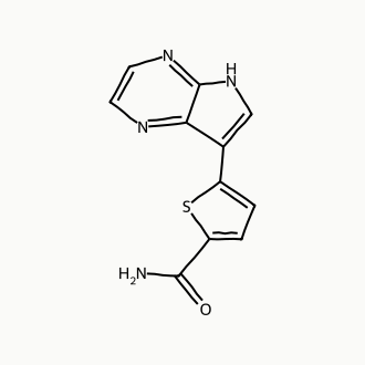 NC(=O)c1ccc(-c2c[nH]c3nccnc23)s1